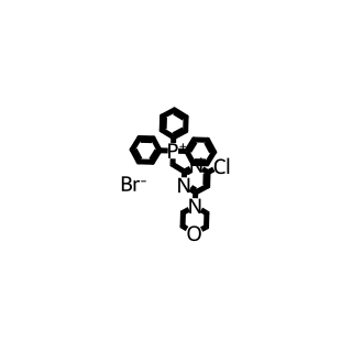 Clc1cc(N2CCOCC2)nc(C[P+](c2ccccc2)(c2ccccc2)c2ccccc2)n1.[Br-]